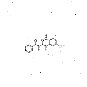 O=C(NC(=O)c1ccccc1)Nc1cc(Cl)ccc1O